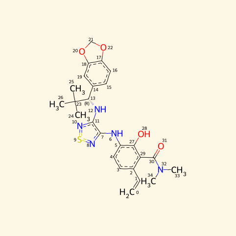 C=Cc1ccc(Nc2nsnc2N[C@@H](c2ccc3c(c2)OCO3)C(C)(C)C)c(O)c1C(=O)N(C)C